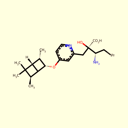 CC(C)C[C@H](N)[C@](O)(Cc1cc(O[C@@H]2C3[C@@H](C)C(C)(C)[C@@H]3[C@@H]2C)ccn1)C(=O)O